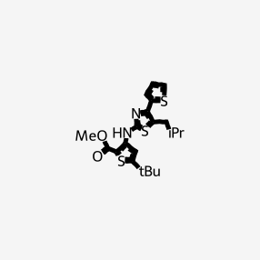 COC(=O)c1sc(C(C)(C)C)cc1Nc1nc(-c2cccs2)c(CC(C)C)s1